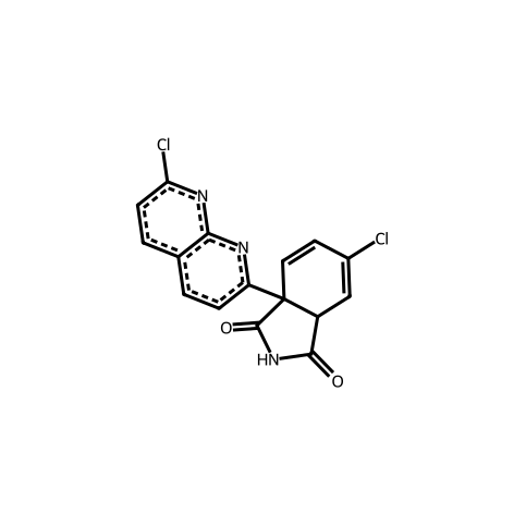 O=C1NC(=O)C2(c3ccc4ccc(Cl)nc4n3)C=CC(Cl)=CC12